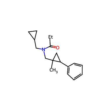 CCC(=O)N(CC1CC1)CC1(C)CC1c1ccccc1